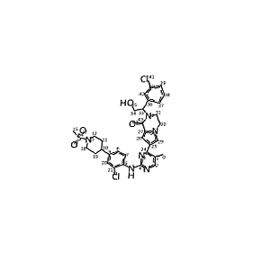 Cc1cnc(Nc2ccc(C3CCN(S(C)(=O)=O)CC3)cc2Cl)nc1-c1cc2n(c1)CCN(C(CO)c1cccc(Cl)c1)C2=O